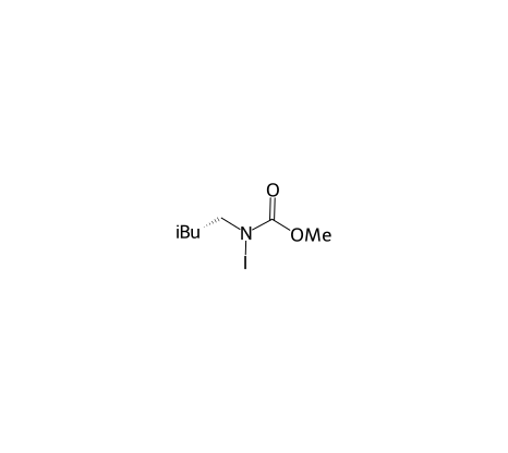 CC[C@@H](C)CN(I)C(=O)OC